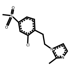 Cc1nccn1CCc1ccc(S(C)(=O)=O)cc1Cl